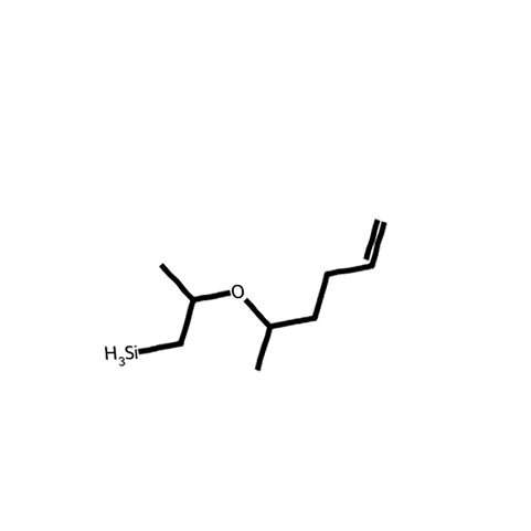 C=CCCC(C)OC(C)C[SiH3]